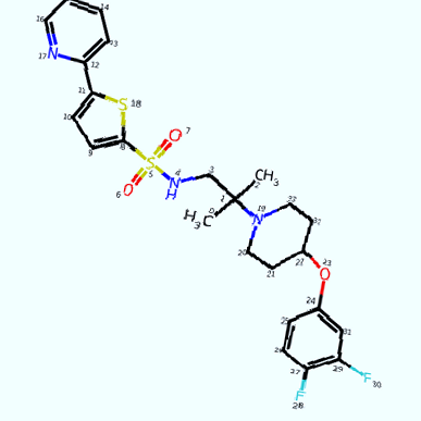 CC(C)(CNS(=O)(=O)c1ccc(-c2ccccn2)s1)N1CCC(Oc2ccc(F)c(F)c2)CC1